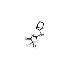 CCC1(CC)SC(NC2CC3CCC2C3)=NC1=O